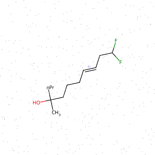 CCCC(C)(O)CCC/C=C/CC(F)F